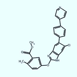 COC(=O)c1cc(Oc2nc3cc(-c4ccc(-c5ccncc5)cc4)c(Cl)cc3[nH]2)ccc1C